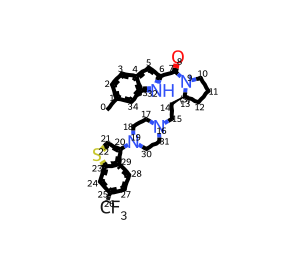 Cc1ccc2cc(C(=O)N3CCC[C@H]3CCN3CCN(c4csc5cc(C(F)(F)F)ccc45)CC3)[nH]c2c1